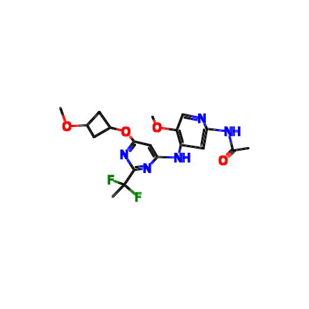 COc1cnc(NC(C)=O)cc1Nc1cc(OC2CC(OC)C2)nc(C(C)(F)F)n1